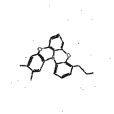 CCCc1cccc2c1Oc1cccc3c1B2c1cc(C)c(C)cc1O3